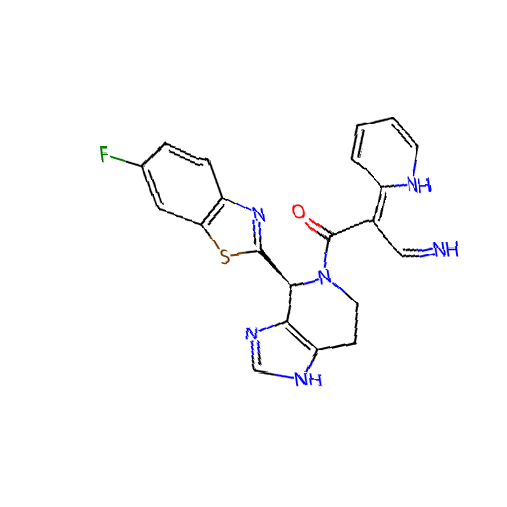 N=C/C(C(=O)N1CCc2[nH]cnc2[C@H]1c1nc2ccc(F)cc2s1)=C1/C=CC=CN1